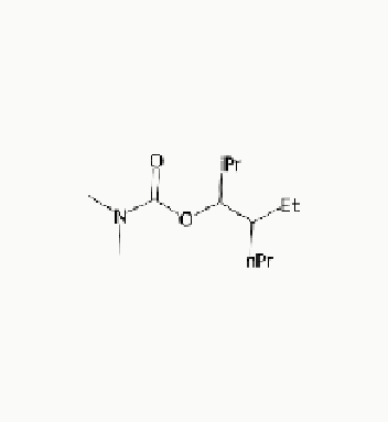 CCCC(CC)C(OC(=O)N(C)C)C(C)C